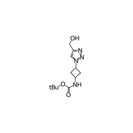 CC(C)(C)OC(=O)NC1CC(n2cc(CO)nn2)C1